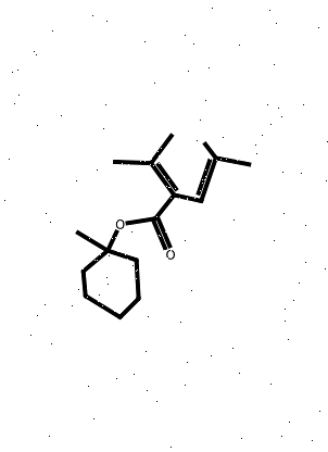 CC(C)=CC(C(=O)OC1(C)CCCCC1)=C(C)C